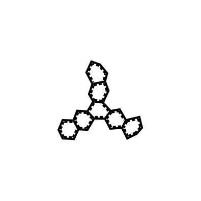 c1ccc2cc3c(cc2c1)c1cc2ccccc2cc1c1cc2ccccc2cc31